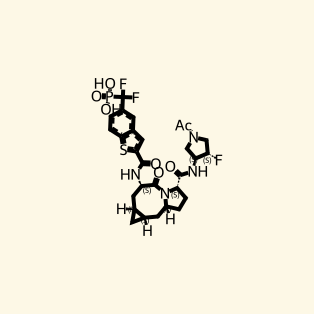 CC(=O)N1C[C@H](NC(=O)[C@@H]2CC[C@@H]3C[C@@H]4C[C@@H]4C[C@H](NC(=O)c4cc5cc(C(F)(F)P(=O)(O)O)ccc5s4)C(=O)N32)[C@@H](F)C1